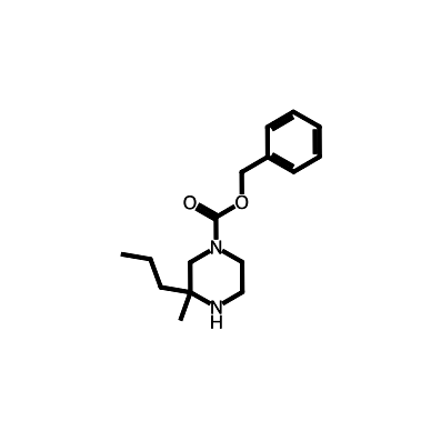 CCCC1(C)CN(C(=O)OCc2ccccc2)CCN1